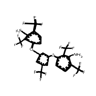 Nc1c(C(F)(F)F)ccc(Oc2cc(Oc3ccc(C(F)(F)F)c(N)c3C(F)(F)F)cc(C(F)(F)F)c2)c1C(F)(F)F